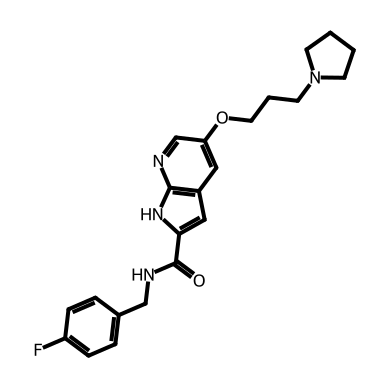 O=C(NCc1ccc(F)cc1)c1cc2cc(OCCCN3CCCC3)cnc2[nH]1